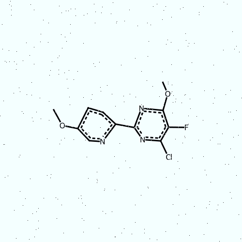 COc1ccc(-c2nc(Cl)c(F)c(OC)n2)nc1